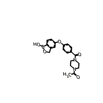 CC(=O)N1CCN(C(=O)c2ccc(Oc3ccc4c(c3)COB4O)cc2)CC1